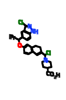 CC(C)C(Oc1ccc2c(c1)CCC(C(Cl)N1CCC(C(=O)O)CC1)=C2)c1ccc2[nH]nc(Cl)c2c1